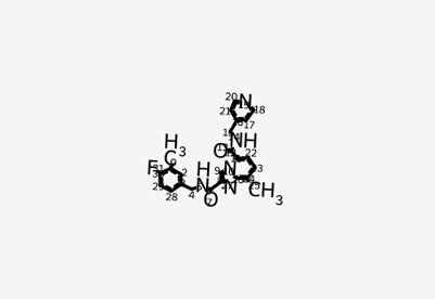 Cc1cc(CNC(=O)c2cn3c(C(=O)NCc4ccncc4)ccc(C)c3n2)ccc1F